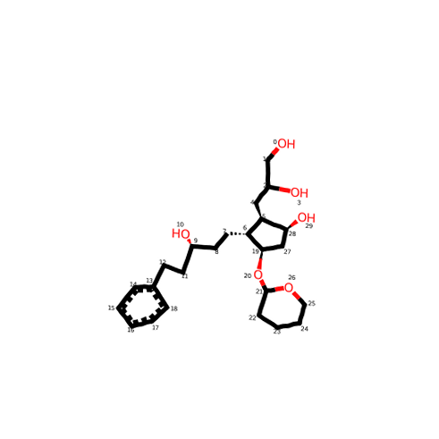 OCC(O)C[C@@H]1[C@@H](CC[C@@H](O)CCc2ccccc2)[C@H](OC2CCCCO2)C[C@@H]1O